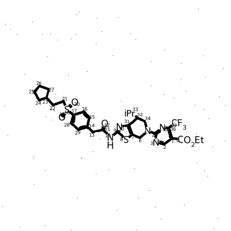 CCOC(=O)c1cnc(N2Cc3sc(NC(=O)Cc4ccc(S(=O)(=O)CCC5CCCC5)cc4)nc3C(C(C)C)C2)nc1C(F)(F)F